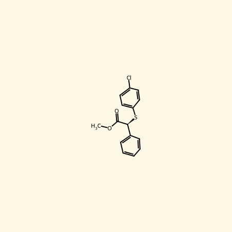 COC(=O)[C@@H](Sc1ccc(Cl)cc1)c1ccccc1